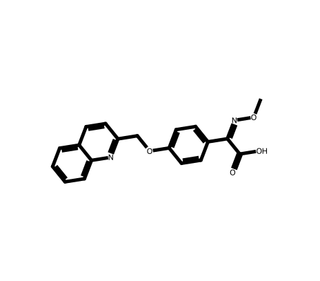 CON=C(C(=O)O)c1ccc(OCc2ccc3ccccc3n2)cc1